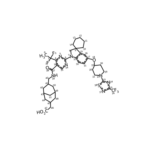 CC(F)(F)c1nc(N2CC3(CCCCC3)c3cc(OC4CCN(c5nc(C(F)(F)F)ns5)CC4)ccc32)ncc1C(=O)NCC1CC2CC(CC(=O)O)CC(C1)C2